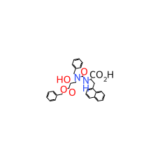 O=C(OCc1ccccc1)C(O)CN(Cc1ccccc1)C(=O)N[C@@H](Cc1cccc2ccccc12)C(=O)O